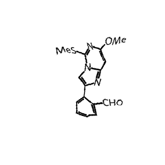 COc1cc2nc(-c3ccccc3C=O)cn2c(SC)n1